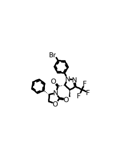 C[C@@H]1C(C(F)(F)F)=NN(c2ccc(Br)cc2)[C@H]1C(=O)N1C(=O)OC[C@@H]1c1ccccc1